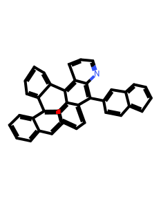 c1ccc(-c2c3ccccc3c(-c3ccc4ccccc4c3)c3ncccc23)c(-c2cccc3ccccc23)c1